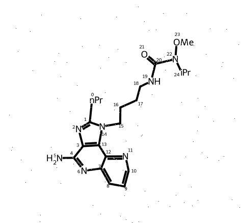 CCCc1nc2c(N)nc3cccnc3c2n1CCCCNC(=O)N(OC)C(C)C